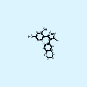 Cc1noc(-c2ccc(O)cc2O)c1-c1ccc2c(c1)OCCO2